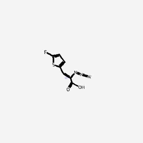 [N-]=[N+]=N/C(=C\c1ccc(F)s1)C(=O)O